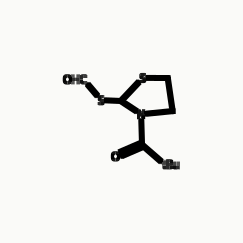 CC(C)(C)C(=O)N1CCSC1SC=O